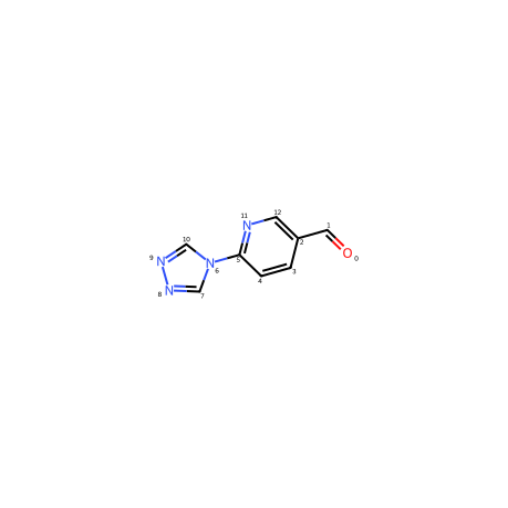 O=Cc1ccc(-n2cnnc2)nc1